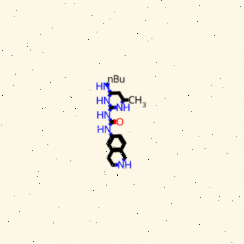 CCCCNC1CC(C)NC(NC(=O)Nc2ccc3c(c2)CCNC3)N1